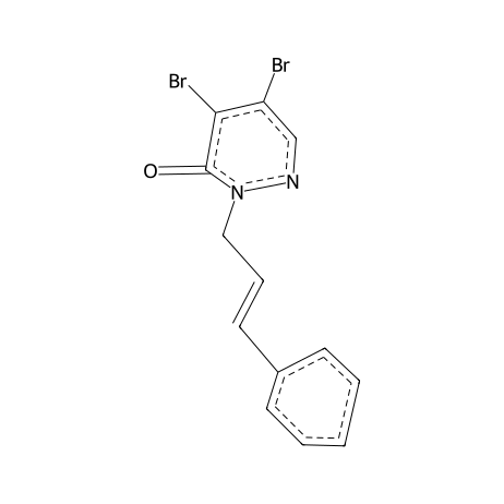 O=c1c(Br)c(Br)cnn1CC=Cc1ccccc1